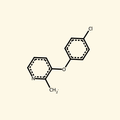 [CH2]c1ncccc1Oc1ccc(Cl)cc1